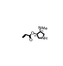 C=CC(=O)O[C@@H]1CNC[C@@H]1NC